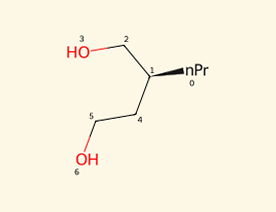 CCC[C@H](CO)CCO